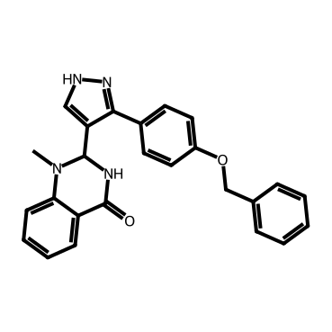 CN1c2ccccc2C(=O)NC1c1c[nH]nc1-c1ccc(OCc2ccccc2)cc1